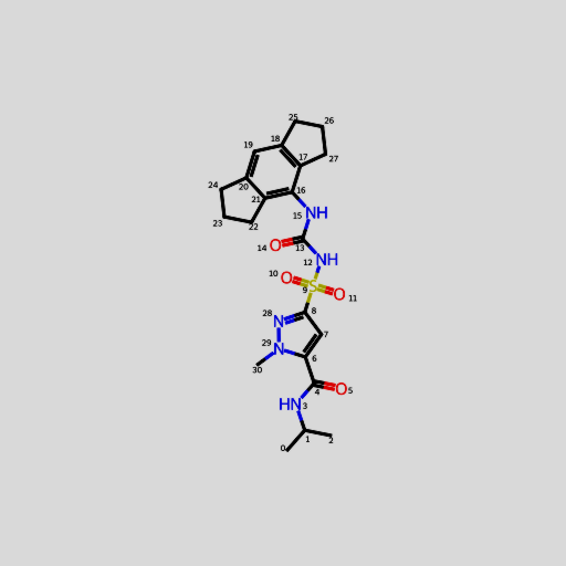 CC(C)NC(=O)c1cc(S(=O)(=O)NC(=O)Nc2c3c(cc4c2CCC4)CCC3)nn1C